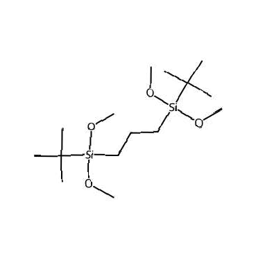 CO[Si](CCC[Si](OC)(OC)C(C)(C)C)(OC)C(C)(C)C